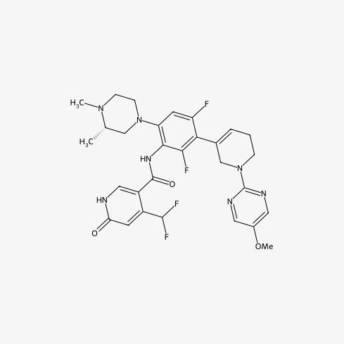 COc1cnc(N2CCC=C(c3c(F)cc(N4CCN(C)[C@@H](C)C4)c(NC(=O)c4c[nH]c(=O)cc4C(F)F)c3F)C2)nc1